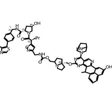 Cc1ncsc1-c1ccc([C@H](C)NC(=O)[C@@H]2C[C@@H](O)CN2C(=O)[C@H](c2cc(CNC(=O)OCC3CC[C@@]4(COc5nc(N6CC7CCC(C6)N7)c6cnc7c(c6n5)C(C)c5cccc6cc(O)cc-7c56)CCCN34)no2)C(C)C)cc1